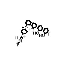 O.Oc1ccccc1.Oc1ccccc1.Oc1ccccc1.Oc1ccccc1.Oc1ccccc1.[Ti].[Ti].[Ti].[Ti].[Ti]